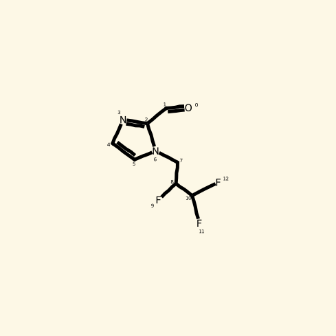 O=Cc1nccn1CC(F)C(F)F